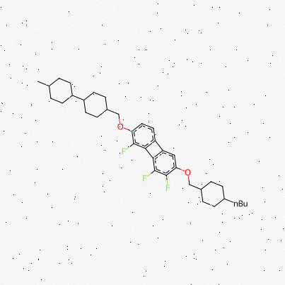 CCCCC1CCC(COc2cc3c(c(F)c2F)-c2c-3ccc(OCC3CCC(C4CCC(C)CC4)CC3)c2F)CC1